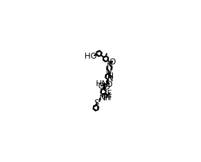 Cc1cc(C(=O)N2CCN(c3ccc(C(=O)NS(=O)(=O)c4ccc(NCCSc5ccccc5)c(C(F)(F)F)c4)nn3)CC2)ccc1-c1cccc(O)c1